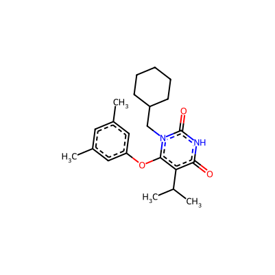 Cc1cc(C)cc(Oc2c(C(C)C)c(=O)[nH]c(=O)n2CC2CCCCC2)c1